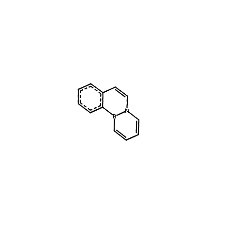 C1=CB2c3ccccc3C=CN2C=C1